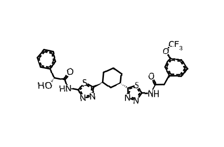 O=C(Cc1cccc(OC(F)(F)F)c1)Nc1nnc([C@H]2CCC[C@H](c3nnc(NC(=O)[C@H](O)c4ccccc4)s3)C2)s1